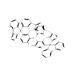 c1ccc2c(c1)-c1ccccc1C21c2cccc3c2B2c4c1ccc1c4[N+]4(c5c(ccc6c5B5c7c(cccc7C67c6ccccc6-c6ccccc67)-c6ccc[n+]4c65)O1)[n+]1cccc-3c12